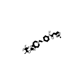 C[C@H](Oc1nc2c(s1)CCN(CC[C@H]1CC[C@H](NC(=O)Cc3cnn(C)n3)CC1)CC2)C(F)(F)F